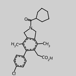 Cc1c2c(c(C)c(-c3ccc(Cl)cc3)c1CC(=O)O)CN(C(=O)C1CCCCC1)C2